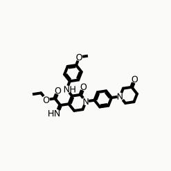 CCOC(=O)C(=N)C1=C(Nc2ccc(OC)cc2)C(=O)N(c2ccc(N3CCCC(=O)C3)cc2)CC1